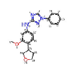 COc1cc(Nc2ncn(-c3ccccc3)n2)ccc1C1CCOC1